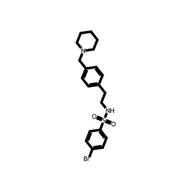 O=S(=O)(NCCc1ccc(CN2CCCCC2)cc1)c1ccc(Br)cc1